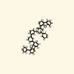 c1ccc(-c2nc(-c3cccc(-c4cccc(-c5cccc6c5oc5c(-c7ccccc7)cccc56)c4)c3)nc(-c3cccc4c3oc3ccccc34)n2)cc1